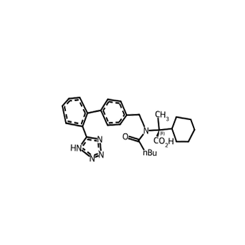 CCCCC(=O)N(Cc1ccc(-c2ccccc2-c2nnn[nH]2)cc1)[C@@](C)(C(=O)O)C1CCCCC1